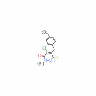 CC(C)(C)c1ccc(Cc2c(Cl)c(=O)n(C(C)(C)C)[nH]c2=S)cc1